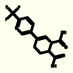 O=C(O)C1CCC(c2ccc(C(F)(F)F)nc2)=CN1C(=O)O